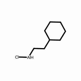 [Cl][AlH][CH2]CC1CCCCC1